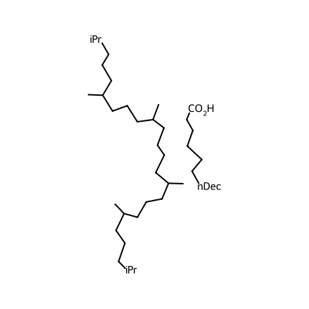 CC(C)CCCC(C)CCCC(C)CCCCC(C)CCCC(C)CCCC(C)C.CCCCCCCCCCCCCCCC(=O)O